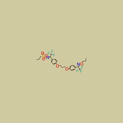 CCCON=C(c1ccc(OCCCOc2ccc(C(=NOS(=O)(=O)CCC)C(F)(F)F)cc2)cc1)C(F)(F)F